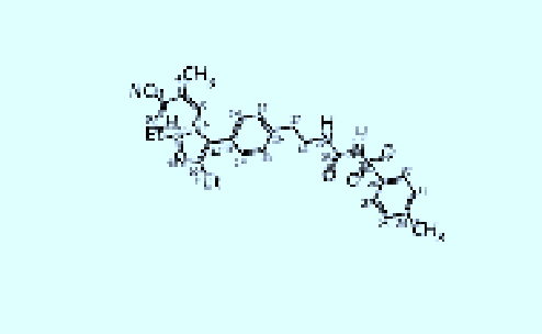 C=C(C#N)/C(C)=C\n1c(CC)nc(CC)c1-c1ccc(CCNC(=O)NS(=O)(=O)c2ccc(C)cc2)cc1